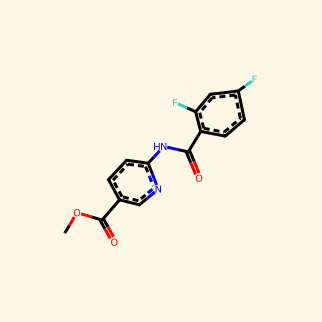 COC(=O)c1ccc(NC(=O)c2ccc(F)cc2F)nc1